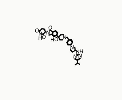 CC(C)c1cnc(N[C@@H]2CCN(c3ccc(CN4CCC(O)(c5ccc6c(c5)CN(C5CCC(=O)NC5=O)C6=O)CC4)cc3)C2)nc1